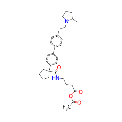 CC1CCCN1CCc1ccc(-c2ccc(C3(C(=O)NCCCC(=O)OC(=O)C(F)(F)F)CCCC3)cc2)cc1